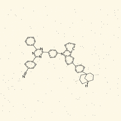 C[C@@H]1C[C@@H]2C[C@H](C)CC(c3ccc(-c4ccc5c(c4)c4ccccc4n5-c4ccc(-c5nc(-c6ccccc6)nc(-c6ccc(C#N)cc6)n5)cc4)cc3)(C1)C2